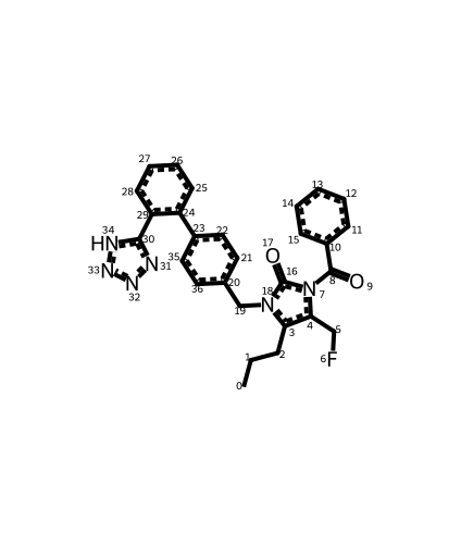 CCCc1c(CF)n(C(=O)c2ccccc2)c(=O)n1Cc1ccc(-c2ccccc2-c2nnn[nH]2)cc1